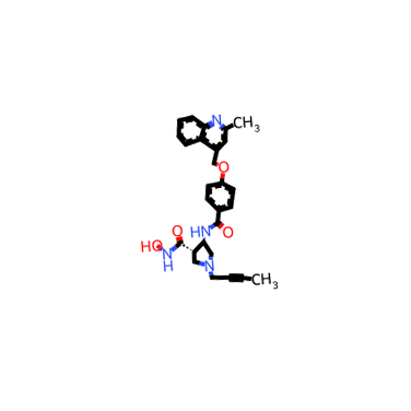 CC#CCN1C[C@H](C(=O)NO)[C@H](NC(=O)c2ccc(OCc3cc(C)nc4ccccc34)cc2)C1